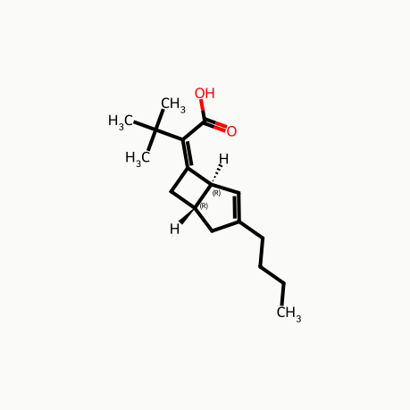 CCCCC1=C[C@@H]2C(=C(C(=O)O)C(C)(C)C)C[C@H]2C1